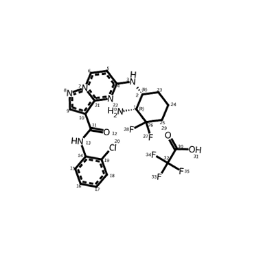 N[C@@H]1[C@H](Nc2ccn3ncc(C(=O)Nc4ccccc4Cl)c3n2)CCCC1(F)F.O=C(O)C(F)(F)F